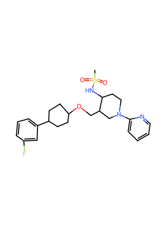 CS(=O)(=O)NC1CCN(c2ccccn2)CC1COC1CCC(c2cccc(F)c2)CC1